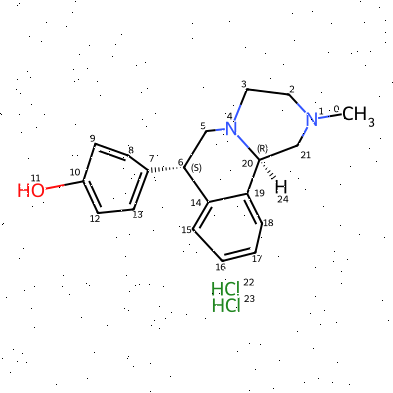 CN1CCN2C[C@@H](c3ccc(O)cc3)c3ccccc3[C@@H]2C1.Cl.Cl